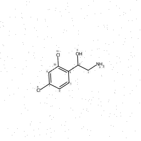 NCC(O)c1ccc(Cl)cc1Cl